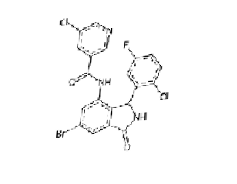 O=C(Nc1cc(Br)cc2c1C(c1cc(F)ccc1Cl)NC2=O)c1cncc(Cl)c1